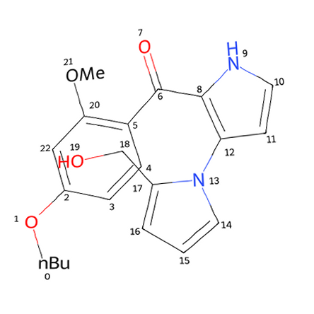 CCCCOc1ccc(C(=O)c2[nH]ccc2-n2cccc2CO)c(OC)c1